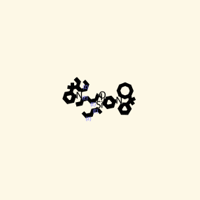 C=CC1=C(/C=C\C)N(/C(C=C)=C/C=C2\COc3cc(N4c5ccccc5C(C)(C)C5CCCCCC4C5)ccc3[SiH]2/C(C)=C/C=C\C)c2ccccc2C1(C)C